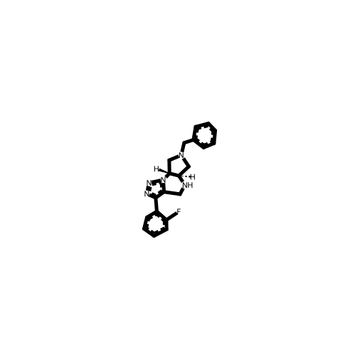 Fc1ccccc1-c1nnn2c1CN[C@@H]1CN(Cc3ccccc3)C[C@H]12